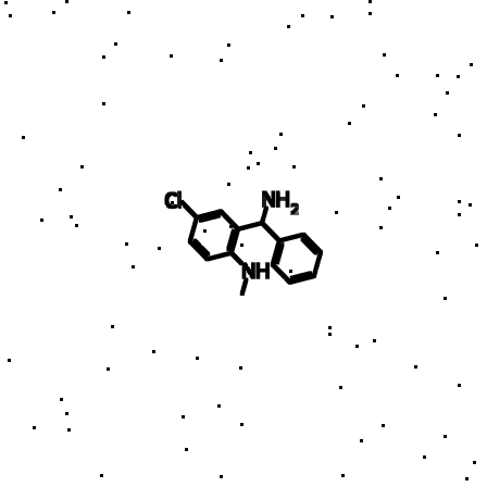 CNc1ccc(Cl)cc1C(N)c1ccccc1